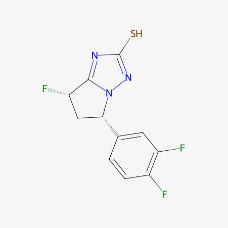 Fc1ccc([C@@H]2C[C@H](F)c3nc(S)nn32)cc1F